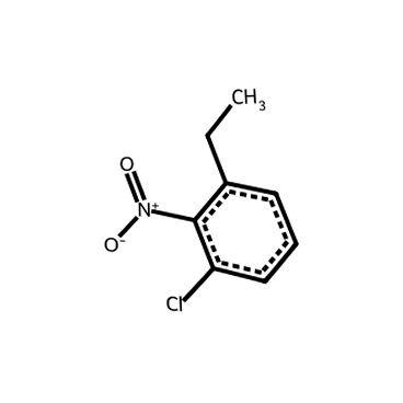 CCc1cccc(Cl)c1[N+](=O)[O-]